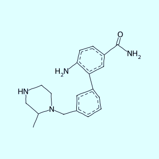 CC1CNCCN1Cc1cccc(-c2cc(C(N)=O)ccc2N)c1